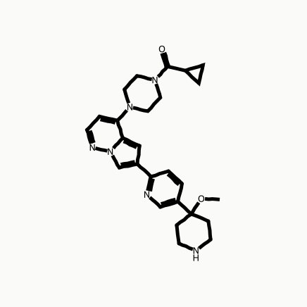 COC1(c2ccc(-c3cc4c(N5CCN(C(=O)C6CC6)CC5)ccnn4c3)nc2)CCNCC1